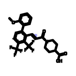 COc1ccccc1-c1c[c]c(C(F)(F)F)c(C(F)(F)F)c1/C=C/C(=O)N1CCC(C(=O)O)CC1